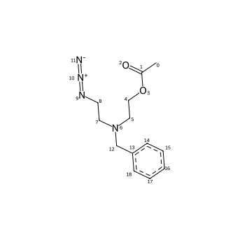 CC(=O)OCCN(CCN=[N+]=[N-])Cc1ccccc1